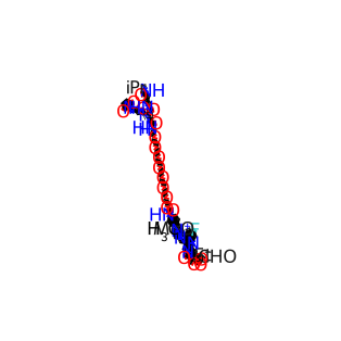 CC[C@@]1(OC=O)C(=O)OCc2c1cc1n(c2=O)Cc2c-1nc1cc(F)c(OC)cc1c2CN1CC[N+](C)(Cc2ccc(NC(=O)OCCOCCOCCOCCOCCOCCOCCOCCNC(=O)CC[C@H](NC(=O)CCCN3C(=O)C=CC3=O)C(=O)NCCCC(=O)NC(C)C)cc2)CC1